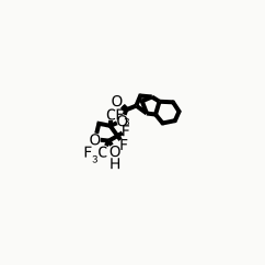 O=C(OC1(C(F)(F)F)COC(O)(C(F)(F)F)C1(F)F)C1CC2CC1C1CCCCC21